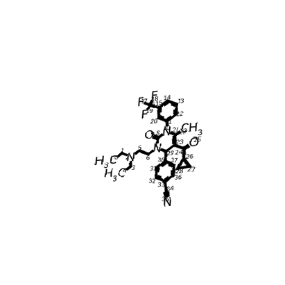 CCN(CC)CCN1C(=O)N(c2cccc(C(F)(F)F)c2)C(C)=C(C(=O)C2CC2)C1c1ccc(C#N)cc1